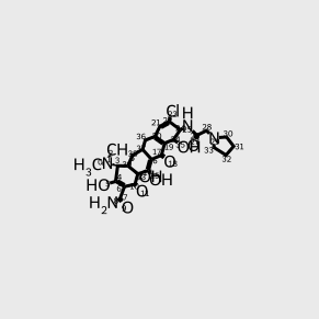 CN(C)[C@@H]1C(O)=C(C(N)=O)C(=O)[C@@]2(O)C(O)=C3C(=O)C4=C(C=C(Cl)C(NC(=O)CN5CCCC5)C4O)CC3CC12